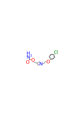 NC(=O)OCC1CN(CCOc2ccc(Cl)cc2)C1